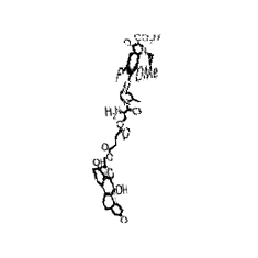 COc1c(N2CCN(C(=O)C(N)COC(=O)CCC(=O)OCC(=O)[C@@]3(O)CCC4C5CCC6=CC(=O)C=C[C@]6(C)C5[C@@H](O)C[C@@]43C)C(C)C2)c(F)cc2c(=O)c(C(=O)O)cn(C3CC3)c12